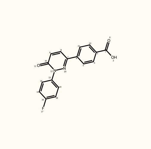 O=C(O)c1ccc(-c2ccc(=O)n(-c3ccc(F)cc3)n2)cc1